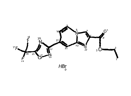 Br.CCOC(=O)c1cn2ccc(-c3noc(C(F)(F)F)n3)cc2n1